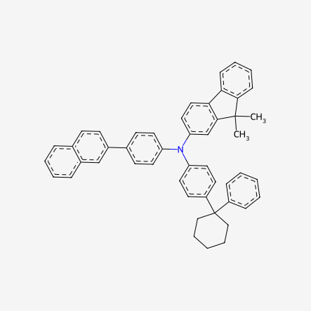 CC1(C)c2ccccc2-c2ccc(N(c3ccc(-c4ccc5ccccc5c4)cc3)c3ccc(C4(c5ccccc5)CCCCC4)cc3)cc21